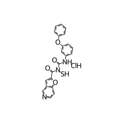 Cl.O=C(Nc1cccc(Oc2ccccc2)c1)N(S)C(=O)c1cc2cnccc2o1